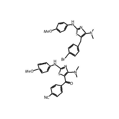 COc1ccc(Nc2nc(N(C)C)c(C(=O)c3ccc(C#N)cc3)s2)cc1.COc1ccc(Nc2nc(N(C)C)c(Cc3ccc(Br)cc3)s2)cc1